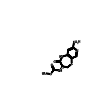 CC(C)(C)OC(=O)N[C@H]1CSc2cnc(C(=O)O)cc2NC1=O